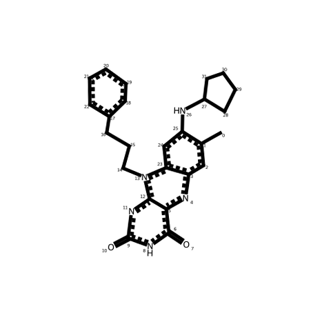 Cc1cc2nc3c(=O)[nH]c(=O)nc-3n(CCCc3ccccc3)c2cc1NC1CCCC1